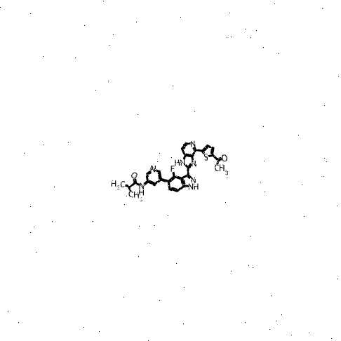 CC(=O)c1ccc(-c2nccc3[nH]c(-c4n[nH]c5ccc(-c6cncc(NC(=O)C(C)C)c6)c(F)c45)nc23)s1